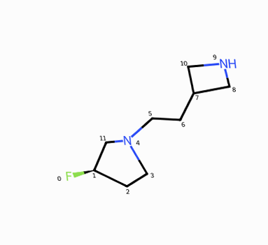 F[C@@H]1CCN(CCC2CNC2)C1